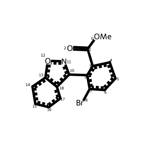 COC(=O)c1cccc(Br)c1-c1noc2ccccc12